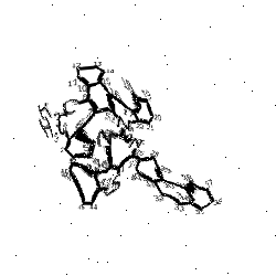 Cc1ccccc1-c1c(C)c2ccccc2c2c3ccccc3n(-c3nc(-c4ccc5c(ccc6ccccc65)c4)c4sc5ccccc5c4n3)c12